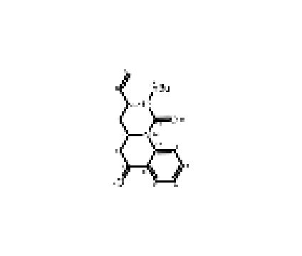 C=CCCC1CC(=O)c2ccccc2N1C(=O)OCCCC